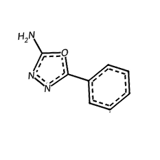 Nc1nnc(-c2c[c]ccc2)o1